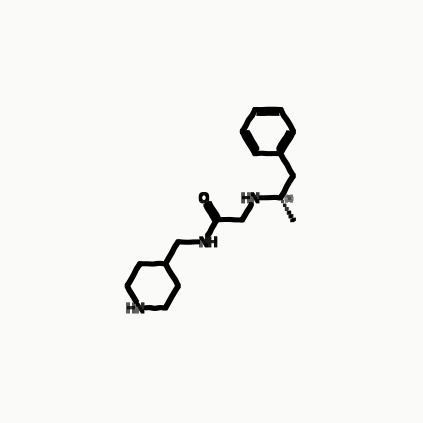 C[C@@H](Cc1ccccc1)NCC(=O)NCC1CCNCC1